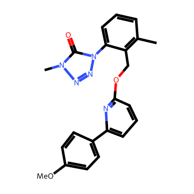 COc1ccc(-c2cccc(OCc3c(C)cccc3-n3nnn(C)c3=O)n2)cc1